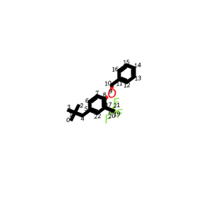 CC(C)(C)Cc1ccc(OCc2ccccc2)c(C(F)(F)F)c1